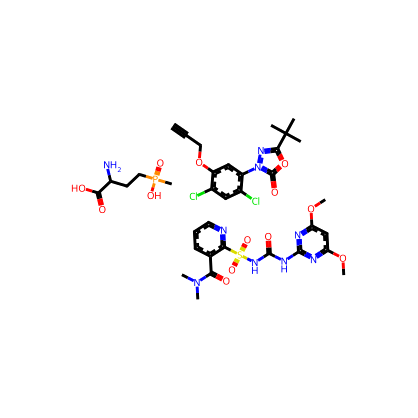 C#CCOc1cc(-n2nc(C(C)(C)C)oc2=O)c(Cl)cc1Cl.COc1cc(OC)nc(NC(=O)NS(=O)(=O)c2ncccc2C(=O)N(C)C)n1.CP(=O)(O)CCC(N)C(=O)O